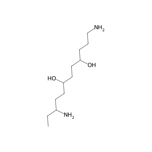 CCC(N)CCC(O)CCC(O)CCCN